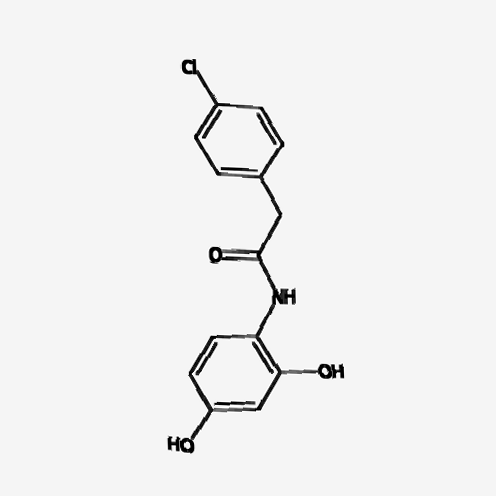 O=C(Cc1ccc(Cl)cc1)Nc1ccc(O)cc1O